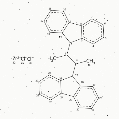 CC(C1c2ccccc2-c2ccccc21)C(C)C1c2ccccc2-c2ccccc21.[Cl-].[Cl-].[Zr+2]